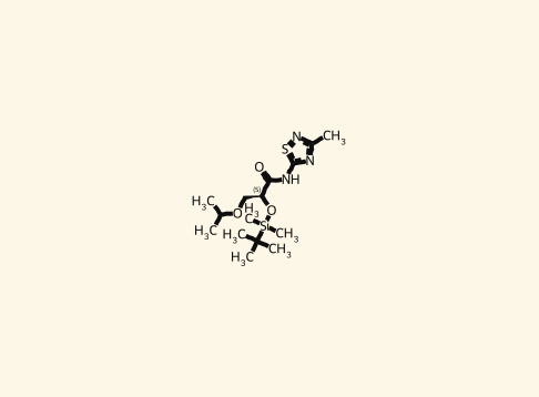 Cc1nsc(NC(=O)[C@H](COC(C)C)O[Si](C)(C)C(C)(C)C)n1